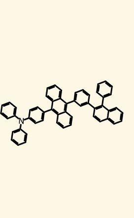 c1ccc(-c2c(-c3cccc(-c4c5ccccc5c(-c5ccc(N(c6ccccc6)c6ccccc6)cc5)c5ccccc45)c3)ccc3ccccc23)cc1